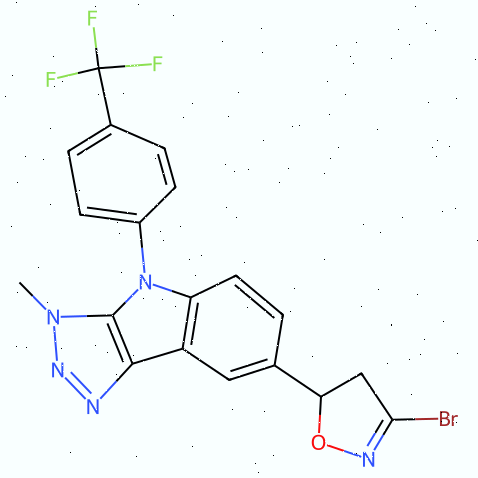 Cn1nnc2c3cc(C4CC(Br)=NO4)ccc3n(-c3ccc(C(F)(F)F)cc3)c21